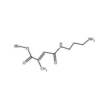 CC(=CC(=O)NCCCN)C(=O)OC(C)(C)C